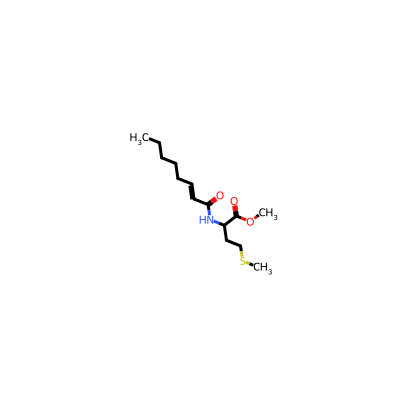 CCCCC/C=C/C(=O)NC(CCSC)C(=O)OC